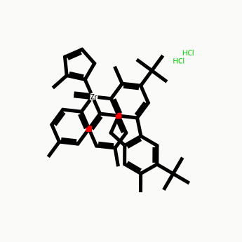 Cl.Cl.[CH2]=[Zr]([C]1=C(C)C=CC1)([c]1ccc(C)cc1)([c]1ccc(C)cc1)[c]1c(C)c(C(C)(C)C)cc2c1Cc1cc(C)c(C(C)(C)C)cc1-2